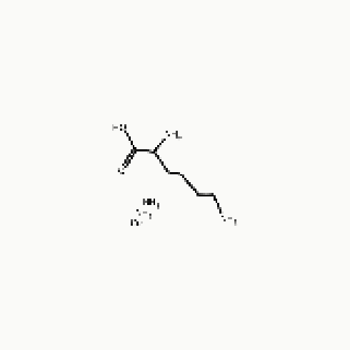 N.N.NCCCCC(N)C(=O)O.[Cu]